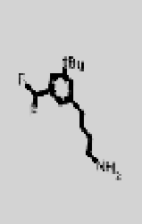 CC(C)(C)c1cc(CCCCN)cc(C(F)F)c1